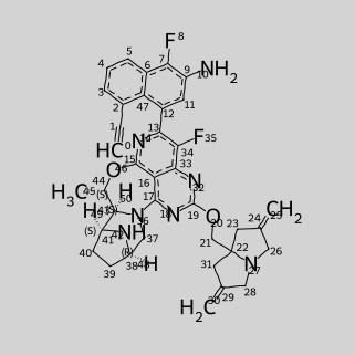 C#Cc1cccc2c(F)c(N)cc(-c3nc4c5c(nc(OCC67CC(=C)CN6CC(=C)C7)nc5c3F)N3C[C@H]5CC[C@H](N5)[C@H]3[C@H](C)O4)c12